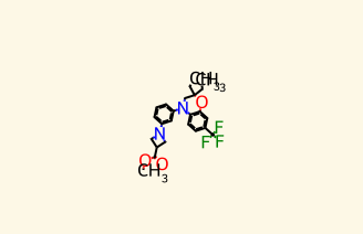 CCC1(CC)CN(c2cccc(N3CC(C(=O)OC)C3)c2)c2ccc(C(F)(F)F)cc2O1